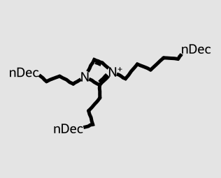 CCCCCCCCCCCCCCC[n+]1ccn(CCCCCCCCCCCCC)c1CCCCCCCCCCCCC